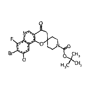 CC(C)(C)OC(=O)N1CCC2(CC1)CC(=O)c1cnc3c(F)c(Br)c(Cl)cc3c1O2